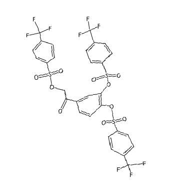 O=C(COS(=O)(=O)c1ccc(C(F)(F)F)cc1)c1ccc(OS(=O)(=O)c2ccc(C(F)(F)F)cc2)c(OS(=O)(=O)c2ccc(C(F)(F)F)cc2)c1